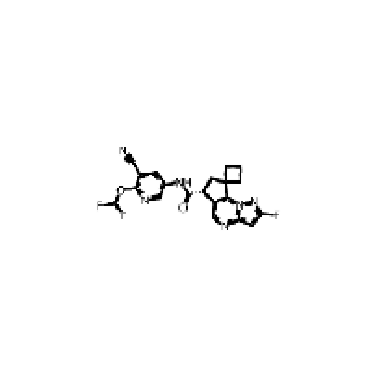 N#Cc1cc(NC(=O)[C@@H]2CC3(CCC3)c3c2cnc2cc(F)nn32)cnc1OC(F)F